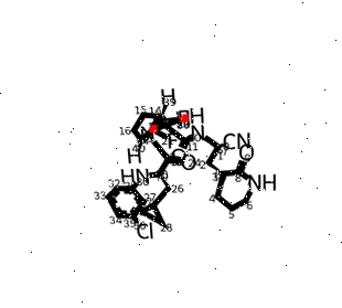 N#C[C@H](C[C@@H]1CCCNC1=O)NC(=O)[C@H]1[C@H]2CC[C@H](CC2(F)F)N1C(=O)[C@@H](CC1CC1)Nc1cccc(Cl)c1